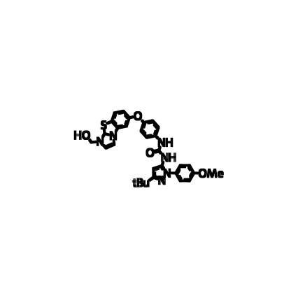 COc1ccc(-n2nc(C(C)(C)C)cc2NC(=O)Nc2ccc(Oc3ccc4c(c3)N3C=CN(CO)C3S4)cc2)cc1